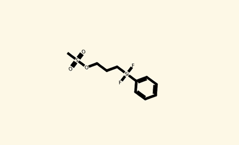 CS(=O)(=O)OCCC[Si](F)(F)c1ccccc1